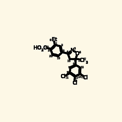 CCc1cc(C2=NOC(c3cc(Cl)c(Cl)c(Cl)c3)(C(F)(F)F)C2)ccc1C(=O)O